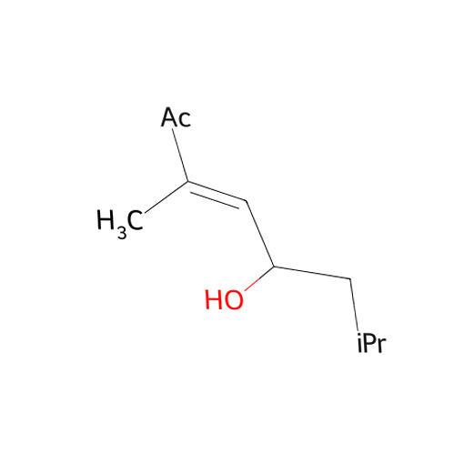 CC(=O)C(C)=CC(O)CC(C)C